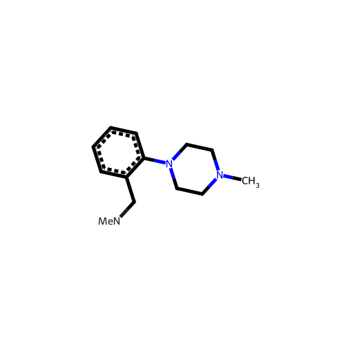 CNCc1ccccc1N1CCN(C)CC1